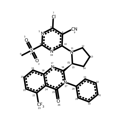 CS(=O)(=O)c1nc(Cl)c(C#N)c(N2CCC[C@H]2c2nc3cccc(C(F)(F)F)c3c(=O)n2-c2ccccc2)n1